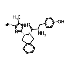 CCCc1nc([C@H]2Cc3ccccc3CN2C(=O)[C@@H](N)Cc2ccc(O)cc2)[nH]c1C